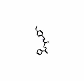 C=C(COC(=O)/C=C/c1ccc(OC)cc1)C1=CCC=CC1